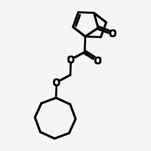 O=C(OCOC1CCCCCCC1)C12C=CC(CC1)C2=O